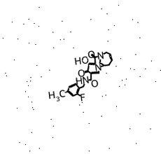 Cc1ccc(CNC(=O)c2cn3c(c(O)c2=O)C(=O)N2CC=CCC3C2)c(F)c1